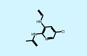 C=CNc1cc(Cl)cnc1NC(=C)C